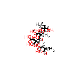 C=C(CC(=O)O)C(=O)O.C=C(CC(=O)O)C(=O)O.C=C(CC(=O)O)C(=O)O.CCC(CO)(CO)CO